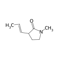 CC=CC1CCN(C)C1=O